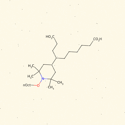 CCCCCCCCON1C(C)(C)CC(C(CCCCCC(=O)O)CCC(=O)O)CC1(C)C